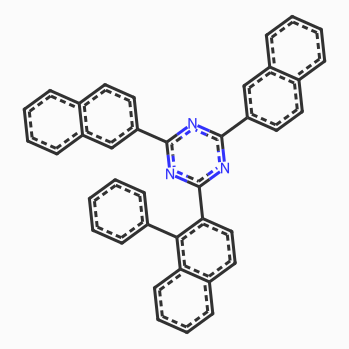 c1ccc(-c2c(-c3nc(-c4ccc5ccccc5c4)nc(-c4ccc5ccccc5c4)n3)ccc3ccccc23)cc1